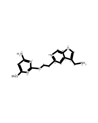 CSc1cc(N)nc(SCCc2cc3c(CN)coc3cn2)n1